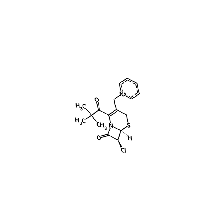 CC(C)(C)C(=O)C1=C(C[n+]2ccccc2)CS[C@H]2[C@@H](Cl)C(=O)N12